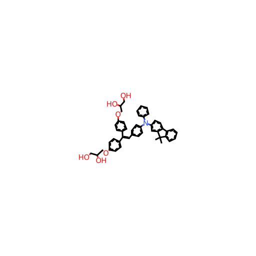 CC1(C)c2ccccc2-c2ccc(N(c3ccccc3)c3ccc(C=C(c4ccc(OCC(O)CO)cc4)c4ccc(OCC(O)CO)cc4)cc3)cc21